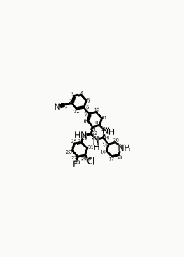 N#CC1=CCCC(C2=CC3C(CC2)NC(C2CCCNC2)NC3NC2CCC(F)C(Cl)C2)=C1